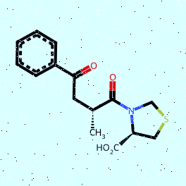 C[C@H](CC(=O)c1ccccc1)C(=O)N1CSC[C@H]1C(=O)O